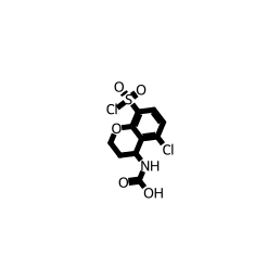 O=C(O)NC1CCOc2c(S(=O)(=O)Cl)ccc(Cl)c21